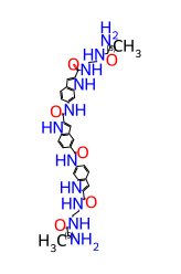 C[C@H](N)C(=O)NCCNC(=O)c1cc2ccc(NC(=O)c3ccc4[nH]c(C(=O)Nc5ccc6cc(C(=O)NCCNC(=O)[C@H](C)N)[nH]c6c5)cc4c3)cc2[nH]1